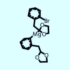 Brc1ccccc1C[C]1([Mg][c]2ccccc2CC2OCCO2)OCCO1